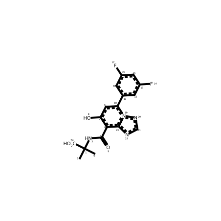 CC(C)(NC(=O)c1c(O)cc(-c2cc(F)cc(F)c2)n2ncnc12)C(=O)O